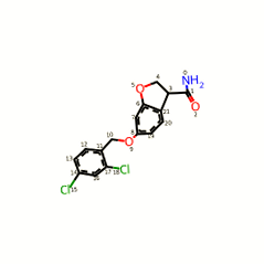 NC(=O)C1COc2cc(OCc3ccc(Cl)cc3Cl)ccc21